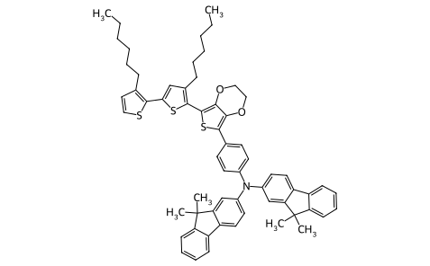 CCCCCCc1ccsc1-c1cc(CCCCCC)c(-c2sc(-c3ccc(N(c4ccc5c(c4)C(C)(C)c4ccccc4-5)c4ccc5c(c4)C(C)(C)c4ccccc4-5)cc3)c3c2OCCO3)s1